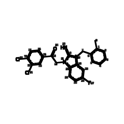 Cc1ccccc1Cn1c(=N)n(CC(=O)c2ccc(Cl)c(Cl)c2)c2ccc(F)cc21